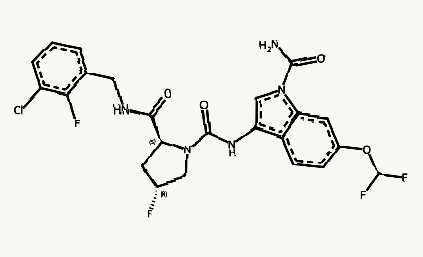 NC(=O)n1cc(NC(=O)N2C[C@H](F)C[C@H]2C(=O)NCc2cccc(Cl)c2F)c2ccc(OC(F)F)cc21